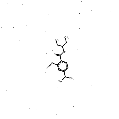 CCC(CC)NC(=O)c1ccc(C(C)C)cc1OC